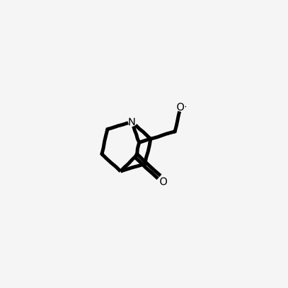 [O]CC1C(=O)C2CCN1CC2